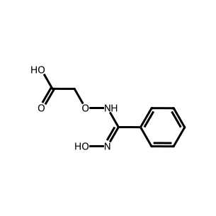 O=C(O)CONC(=NO)c1ccccc1